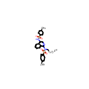 CCOC(=O)CN(c1ncc(NS(=O)(=O)c2ccc(OC)cc2)c2ccccc12)S(=O)(=O)c1ccc(OC)cc1